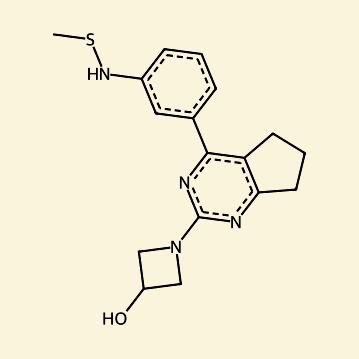 CSNc1cccc(-c2nc(N3CC(O)C3)nc3c2CCC3)c1